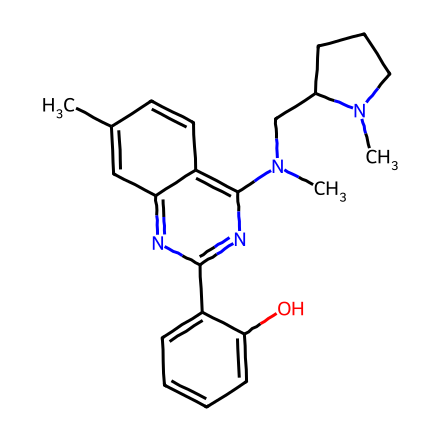 Cc1ccc2c(N(C)CC3CCCN3C)nc(-c3ccccc3O)nc2c1